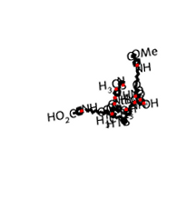 COC(=O)c1ccc(NCCCCCOCC(=O)N[C@H](C(=O)N2C[C@H](O)C[C@H]2C(=O)NCc2ccc(-c3scnc3CCC(C)(C)[C@H](NC(=O)COCCCCCNc3ccc(C(=O)O)cc3)C(=O)N3C[C@H](O)C[C@H]3C(=O)NCc3ccc(-c4scnc4C)cc3)cc2)C(C)(C)C)cc1